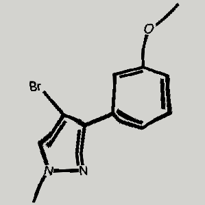 COc1cccc(-c2nn(C)cc2Br)c1